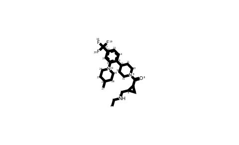 CCNCC1CC1C(=O)N1CCC(c2ccc(C(F)(F)F)cc2N2CCC(C)CC2)CC1